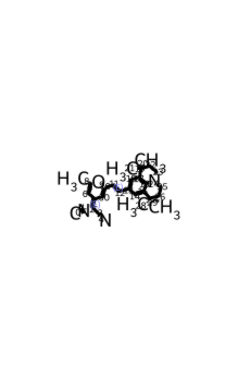 [C-]#[N+]/C(C#N)=C1\C=C(C)OC(/C=C/c2cc3c4c(c2)C(C)(C)CCN4CCC3(C)C)=C1